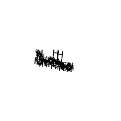 Cc1cn(-c2nccc3[nH]c(-c4ccc(NC(=O)Nc5cc(-c6cccnc6)n[nH]5)cc4)nc23)cn1